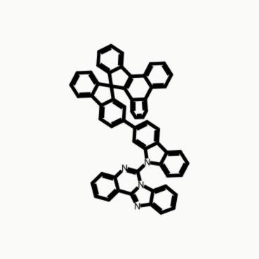 c1ccc2c(c1)-c1ccc(-c3ccc4c5ccccc5n(-c5nc6ccccc6c6nc7ccccc7n56)c4c3)cc1C21c2ccccc2-c2c1c1ccccc1c1ccccc21